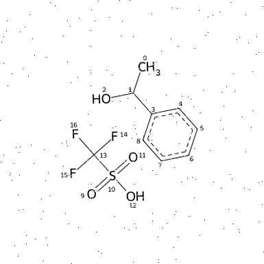 CC(O)c1ccccc1.O=S(=O)(O)C(F)(F)F